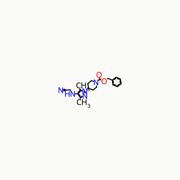 Cc1nn(C2CCN(C(=O)OCc3ccccc3)CC2)c(C)c1NCC#N